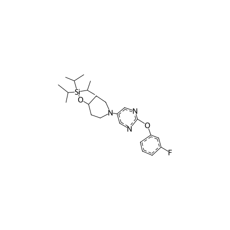 CC(C)[Si](OC1CCN(c2cnc(Oc3cccc(F)c3)nc2)CC1)(C(C)C)C(C)C